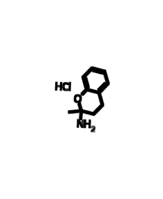 CC1(N)CCc2ccccc2O1.Cl